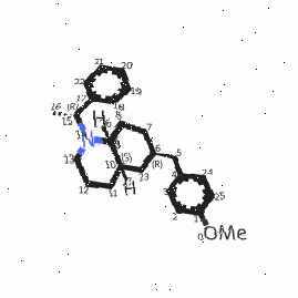 COc1ccc(C[C@@H]2CC[C@@H]3[C@@H](CCCN3[C@H](C)c3ccccc3)C2)cc1